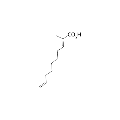 C=CCCCCCC=C(C)C(=O)O